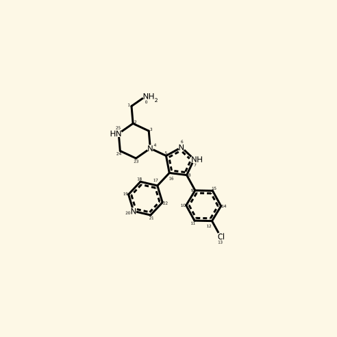 NCC1CN(c2n[nH]c(-c3ccc(Cl)cc3)c2-c2ccncc2)CCN1